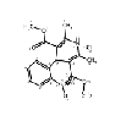 COC(=O)C1=C(C)NC(C)=C(C(=O)OC)C1c1ccccc1[N+](=O)[O-].Cl